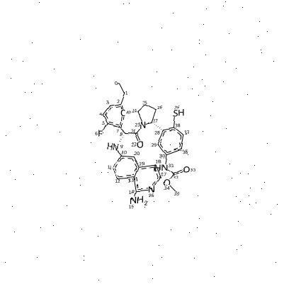 CCc1ccc(F)c([C@@H](Nc2ccc3c(N)nccc3c2)C(=O)N2CCC[C@@H]2c2cc(NC(=O)OC)ccc2S)c1